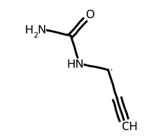 C#C[CH]NC(N)=O